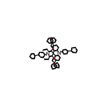 C/C=C\C1=C(C=Cc2ccccc2)C2(C(C=Cc3ccccc3)=C(/C=C\C)N1c1ccc(-c3ccccc3)cc1)c1cc(-c3ccccc3)ccc1N(c1ccc(-c3ccccc3)cc1)c1ccc(-c3ccccc3)cc12